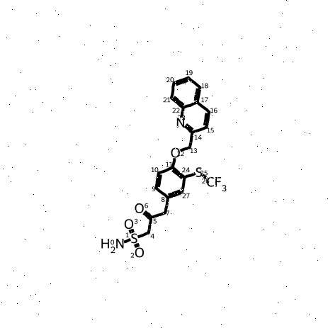 NS(=O)(=O)CC(=O)Cc1ccc(OCc2ccc3ccccc3n2)c(SC(F)(F)F)c1